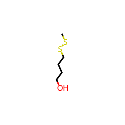 CSSCCCCO